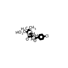 CC(=O)C1(NC(=O)c2ccc(Cl)cc2)C(=O)N2[C@@H](C(=O)O)C(C)(C)S[C@@H]21